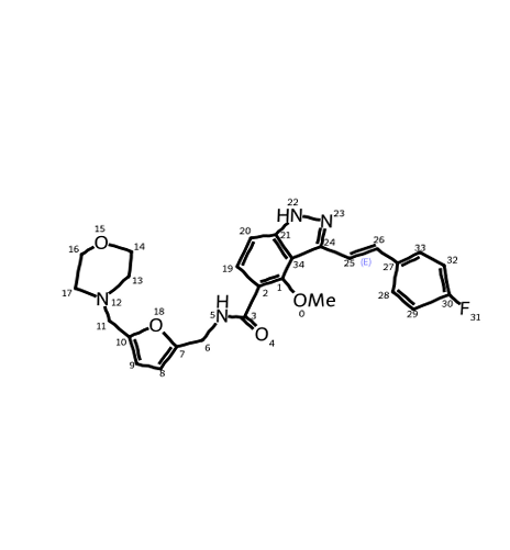 COc1c(C(=O)NCc2ccc(CN3CCOCC3)o2)ccc2[nH]nc(/C=C/c3ccc(F)cc3)c12